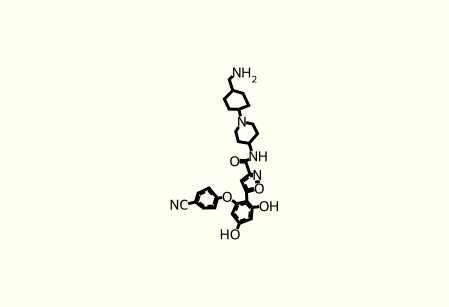 N#Cc1ccc(Oc2cc(O)cc(O)c2-c2cc(C(=O)NC3CCN(C4CCC(CN)CC4)CC3)no2)cc1